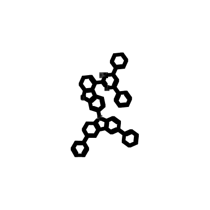 C1=CCCC(c2ccc3c(c2)c2c(n3-c3ccc4c5c(oc4c3)CCC=C5C3=NC(c4ccccc4)=CC(C4=CCCCC4)N3)CCC(c3ccccc3)=C2)=C1